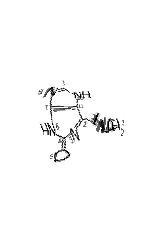 Cl.Nc1nc(=O)[nH]c2nc[nH]c12